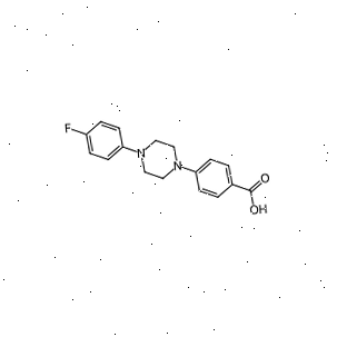 O=C(O)c1ccc(N2CCN(c3ccc(F)cc3)CC2)cc1